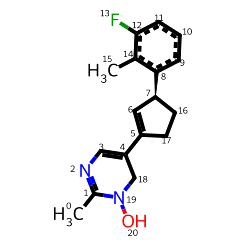 CC1=NC=C(C2=C[C@@H](c3cccc(F)c3C)CC2)CN1O